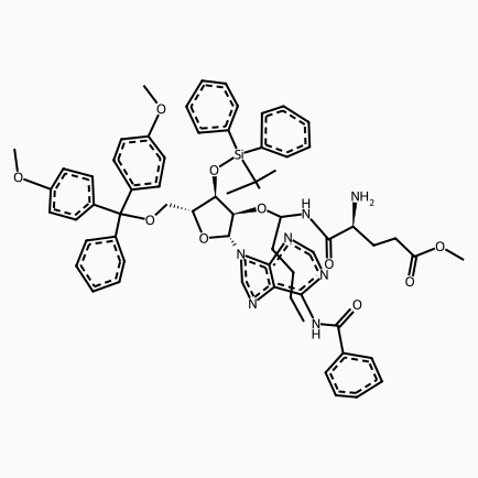 CCCCC(NC(=O)[C@@H](N)CCC(=O)OC)O[C@@H]1[C@H](O[Si](c2ccccc2)(c2ccccc2)C(C)(C)C)[C@@H](COC(c2ccccc2)(c2ccc(OC)cc2)c2ccc(OC)cc2)O[C@H]1n1cnc2c(NC(=O)c3ccccc3)ncnc21